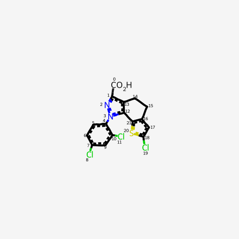 O=C(O)c1nn(-c2ccc(Cl)cc2Cl)c2c1CCc1cc(Cl)sc1-2